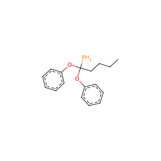 CCCCC(P)(Oc1ccccc1)Oc1ccccc1